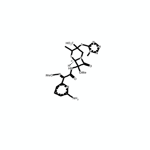 CON=C(C(=O)NC1(OC)C(=O)N2CC(Sc3nnnn3C)(C(=O)O)C(C)S[C@@H]21)c1cccc(N)n1